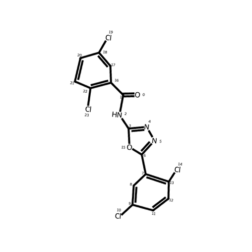 O=C(Nc1nnc(-c2cc(Cl)ccc2Cl)o1)c1cc(Cl)ccc1Cl